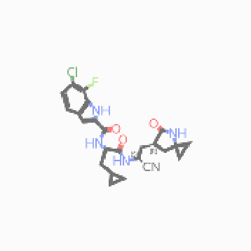 N#C[C@H](C[C@@H]1CC2(CC2)NC1=O)NC(=O)C(CC1CC1)NC(=O)c1cc2ccc(Cl)c(F)c2[nH]1